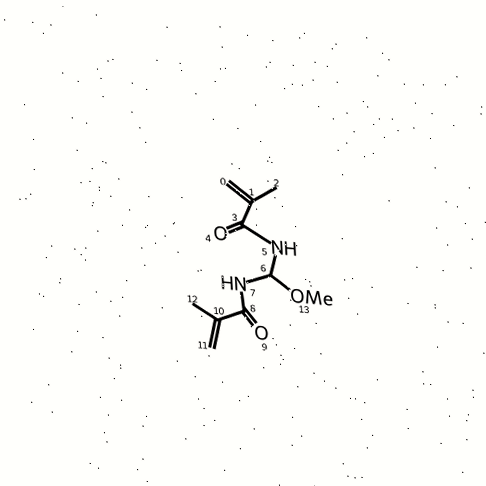 C=C(C)C(=O)NC(NC(=O)C(=C)C)OC